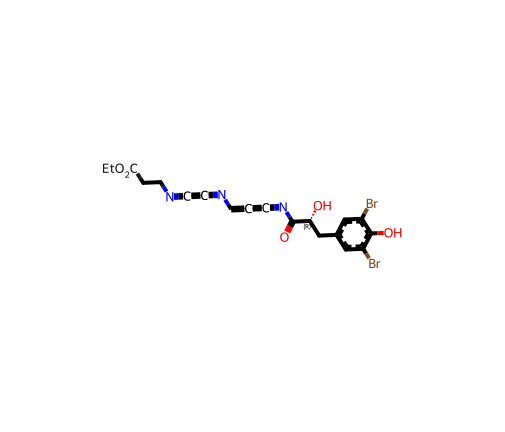 CCOC(=O)CCN=C=C=NC=C=C=NC(=O)[C@H](O)Cc1cc(Br)c(O)c(Br)c1